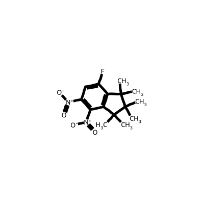 CC1(C)c2c(F)cc([N+](=O)[O-])c([N+](=O)[O-])c2C(C)(C)C1(C)C